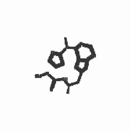 C[C@@H](Cc1cc2ncnc(N(C)c3ccco3)c2s1)NC(=O)OC(C)(C)C